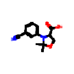 CC1(C)OCC(C(=O)O)N1c1cccc(C#N)c1